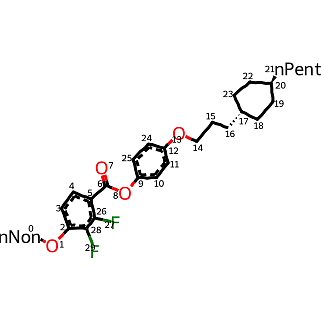 CCCCCCCCCOc1ccc(C(=O)Oc2ccc(OCCC[C@H]3CC[C@H](CCCCC)CC3)cc2)c(F)c1F